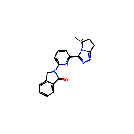 C[C@@H]1CCc2nnc(-c3cccc(N4Cc5ccccc5C4=O)n3)n21